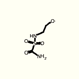 NC(=O)S(=O)(=O)NCC[O]